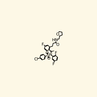 C[C@H](c1ccc(F)cc1CCC(=O)NCC1CCCO1)N(c1cc(F)ccc1F)S(=O)(=O)c1ccc(Cl)cc1